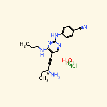 CCCNc1nc(Nc2ccc(C#N)cc2)ncc1C#C[C@@H](N)CC.Cl.Cl.O